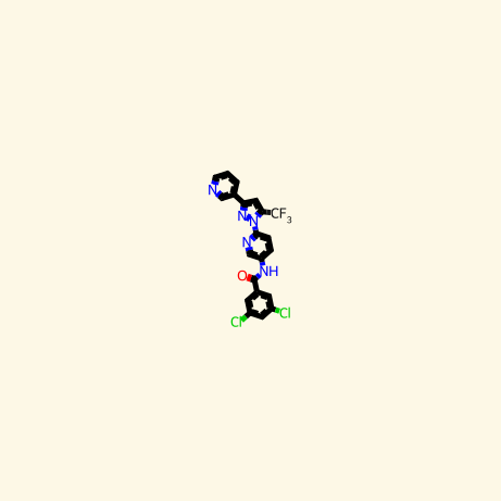 O=C(Nc1ccc(-n2nc(-c3cccnc3)cc2C(F)(F)F)nc1)c1cc(Cl)cc(Cl)c1